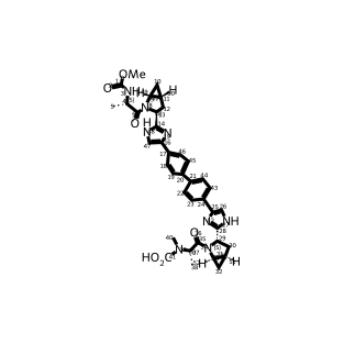 COC(=O)N[C@@H](C)C(=O)N1[C@@H]2C[C@@H]2C[C@H]1c1nc(-c2ccc(-c3ccc(-c4c[nH]c([C@@H]5C[C@H]6C[C@H]6N5C(=O)[C@H](C)N(C)C(=O)O)n4)cc3)cc2)c[nH]1